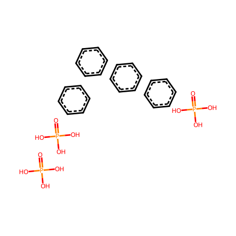 O=P(O)(O)O.O=P(O)(O)O.O=P(O)(O)O.c1ccccc1.c1ccccc1.c1ccccc1.c1ccccc1